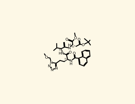 C=C(N[C@@H](CC(=O)OC(C)(C)C)C(=O)OC)[C@@H](NC(=O)[C@H](CCc1nnnn1COC)NC(=O)c1cccc2ccccc12)C(C)C